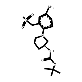 CC(C)(C)OC(=O)N[C@H]1CCCN(c2ccc(N)cc2CS(C)(=O)=O)C1